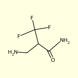 NCC(C(N)=O)C(F)(F)F